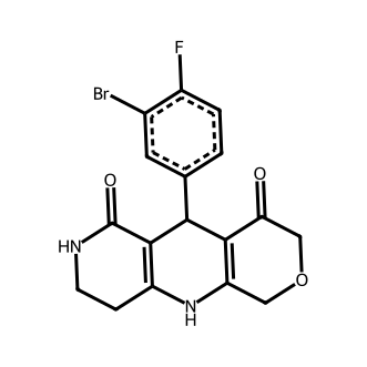 O=C1COCC2=C1C(c1ccc(F)c(Br)c1)C1=C(CCNC1=O)N2